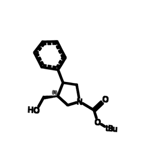 CC(C)(C)OC(=O)N1CC(c2ccccc2)[C@H](CO)C1